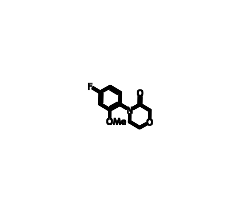 COc1cc(F)ccc1N1CCOCC1=O